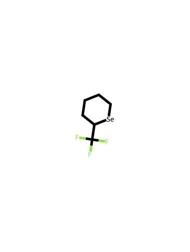 FC(F)(F)C1CCCC[Se]1